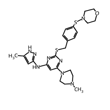 Cc1cc(Nc2cc(N3CCN(C)CC3)nc(SCc3ccc(SN4CCOCC4)cc3)n2)n[nH]1